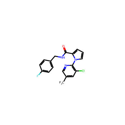 O=C(NCc1ccc(F)cc1)c1cccn1-c1ncc(C(F)(F)F)cc1Cl